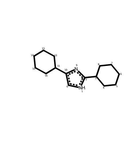 c1[nH]c(C2CCCCC2)nc1C1CCCCC1